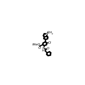 COC(=O)c1cc(-c2ccc3c(ccn3C)c2)c(Cl)cc1NC(=O)Cc1ccccc1